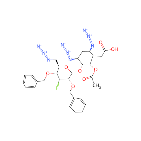 CC(=O)O[C@H]1[C@@H](CC(=O)O)[C@H](N=[N+]=[N-])C[C@H](N=[N+]=[N-])[C@H]1O[C@H]1O[C@H](CN=[N+]=[N-])[C@@H](OCc2ccccc2)[C@H](F)[C@H]1OCc1ccccc1